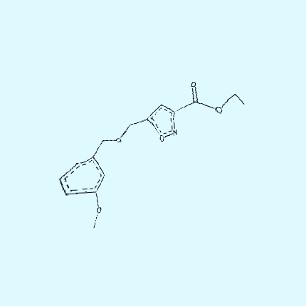 CCOC(=O)c1cc(COCc2cccc(OC)c2)on1